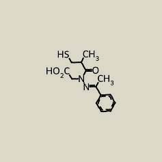 CC(=NN(CC(=O)O)C(=O)C(C)CS)c1ccccc1